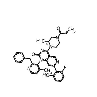 C=CC(=O)N1CCN(c2nc(=O)n(-c3c(C)ccnc3Cc3ccccc3)c3cc(-c4c(O)cccc4F)ncc23)[C@@H](C)C1